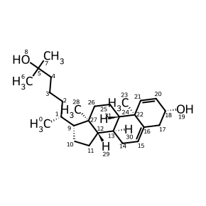 C[C@H](CCCC(C)(C)O)[C@H]1CC[C@H]2[C@@H]3CC=C4C[C@@H](O)C=C[C@]4(C)[C@H]3CC[C@]12C